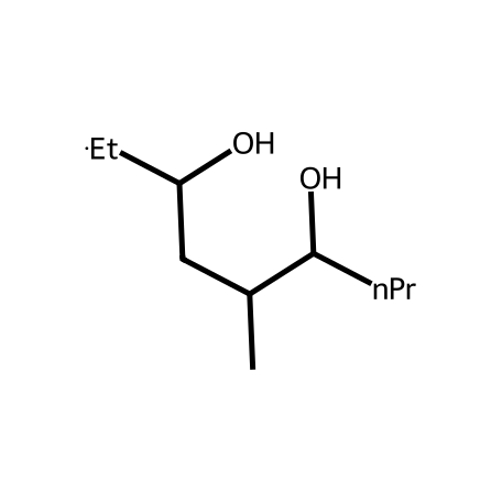 C[CH]C(O)CC(C)C(O)CCC